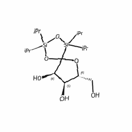 CC(C)[Si]1(C(C)C)OC2(O[C@H](CO)[C@@H](O)[C@H]2O)[Si](C(C)C)(C(C)C)O1